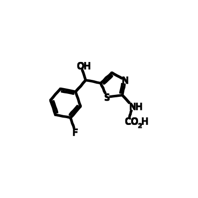 O=C(O)Nc1ncc(C(O)c2cccc(F)c2)s1